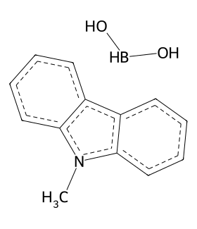 Cn1c2ccccc2c2ccccc21.OBO